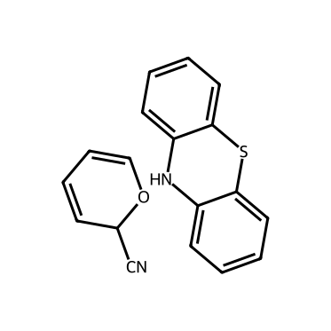 N#CC1C=CC=CO1.c1ccc2c(c1)Nc1ccccc1S2